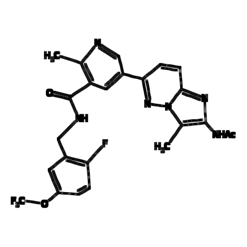 CC(=O)Nc1nc2ccc(-c3cnc(C)c(C(=O)NCc4cc(OC(F)(F)F)ccc4F)c3)nn2c1C